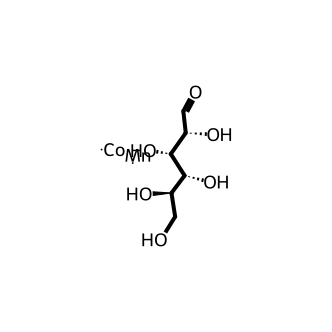 O=C[C@H](O)[C@@H](O)[C@H](O)[C@H](O)CO.[Co].[Mn]